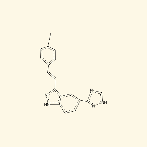 Cc1ccc(C=Cc2n[nH]c3ccc(-c4nc[nH]n4)cc23)cc1